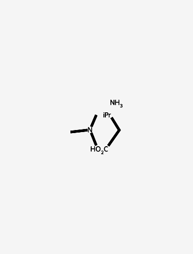 CC(C)CC(=O)O.CN(C)C.N